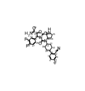 N#Cc1cc(F)ccc1C1CCC(N(C(=O)N2C(=O)O[C@@H](C(N)=O)[C@@H]2c2ccc(F)c(F)c2)[C@@H]2CCNC2)CC1